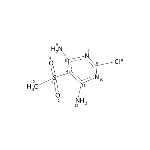 CS(=O)(=O)c1c(N)nc(Cl)nc1N